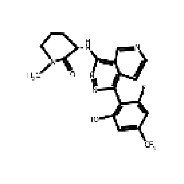 CN1CCC[C@H](Nc2nnc(-c3c(O)cc(C(F)(F)F)cc3F)c3ccncc23)C1=O